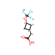 O=C(O)C[C@H]1C[C@@H](OC(F)(F)F)C1